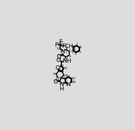 C[C@H]1[C@H](c2ccccc2)C[C@@H](NC(=O)c2cc3c(o2)CC[C@@]2(C3)C(=O)Nc3ncccc32)C(=O)N1CC(F)(F)F